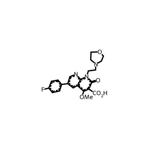 COc1c(C(=O)O)c(=O)n(CCN2CCOCC2)c2ncc(-c3ccc(F)cc3)cc12